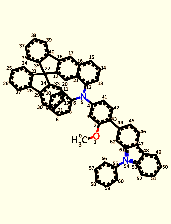 COc1cc(N(c2ccccc2)c2cccc3cc4c(cc23)C2(c3ccccc3-c3ccccc32)c2ccccc2-4)ccc1-c1ccc2c3ccccc3n(-c3ccccc3)c2c1